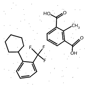 Cc1c(C(=O)O)cccc1C(=O)O.FC(F)(F)c1ccccc1C1CCCCC1